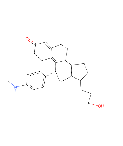 CN(C)c1ccc([C@H]2CC3C(CCCO)CCC3C3CCC4=CC(=O)CCC4=C32)cc1